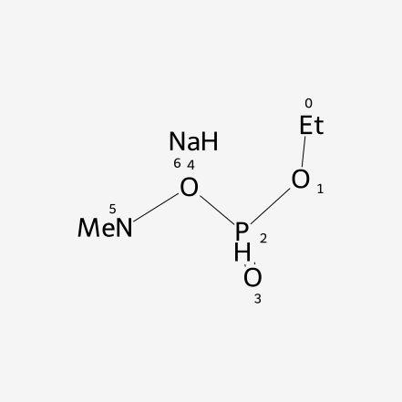 CCO[PH](=O)ONC.[NaH]